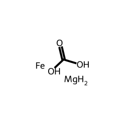 O=C(O)O.[Fe].[MgH2]